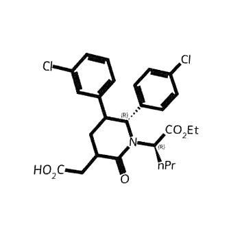 CCC[C@H](C(=O)OCC)N1C(=O)C(CC(=O)O)CC(c2cccc(Cl)c2)[C@@H]1c1ccc(Cl)cc1